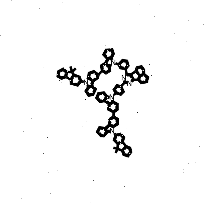 CC1(C)c2ccccc2-c2ccc(-n3c4ccccc4c4cc(-c5ccc6c(c5)c5ccccc5n6-c5ccc(-c6nc(-c7cccc(-n8c9ccccc9c9cc(-c%10ccc%11c(c%10)c%10ccccc%10n%11-c%10ccc%11c(c%10)C(C)(C)c%10ccccc%10-%11)ccc98)c7)c7c(n6)-c6cccc8cccc-7c68)cc5)ccc43)cc21